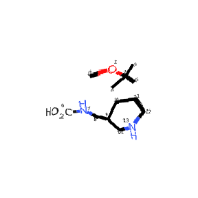 COC(C)(C)C.O=C(O)NCC1CCCNC1